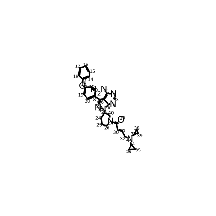 Nc1ncnc2c1c(-c1ccc(Oc3ccccc3)cc1)nn2C1CCCN(C(=O)/C=C/CN(C2CC2)C2CC2)C1